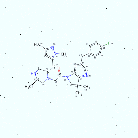 Cc1cc(C[C@H]2CN[C@H](C)CN2CC(=O)N2CC(C)(C)c3ncc(Cc4ccc(F)cc4)cc32)n(C)n1